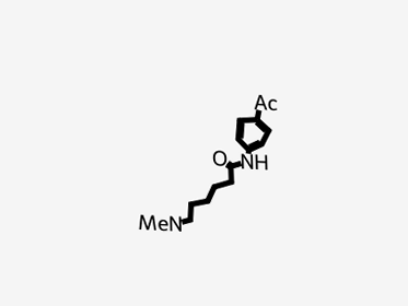 CNCCCCCC(=O)Nc1ccc(C(C)=O)cc1